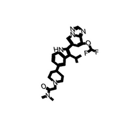 CC(C)c1c(-c2cc(OC(F)F)c3ncnn3c2)[nH]c2ccc(C3CCN(CC(=O)N(C)C)CC3)cc12